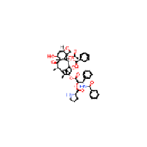 CC(=O)O[C@@]12CO[C@@H]1C[C@H](O)[C@@]1(C)C(=O)[C@H](C)C3=C(C)[C@@H](OC(=O)[C@H](OC(=O)C4CCCN4)[C@@H](NC(=O)c4ccccc4)c4ccccc4)C[C@](O)([C@@H](OC(=O)c4ccccc4)[C@H]21)C3(C)C